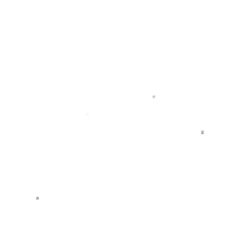 CC(C)c1n[nH]c(-n2cc3c(n2)-c2cc(C(=O)NCCO)ccc2OCC3)n1